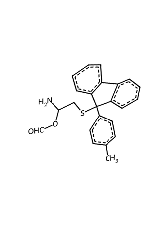 Cc1ccc(C2(SCC(N)OC=O)c3ccccc3-c3ccccc32)cc1